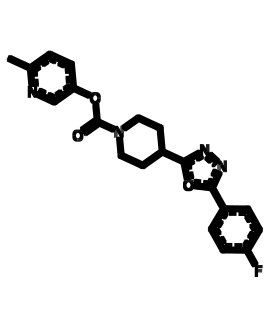 Cc1ccc(OC(=O)N2CCC(c3nnc(-c4ccc(F)cc4)o3)CC2)cn1